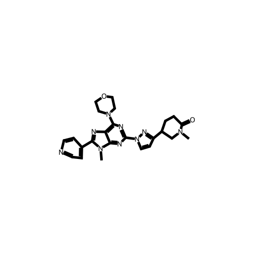 CN1CC(c2ccn(-c3nc(N4CCOCC4)c4nc(-c5ccncc5)n(C)c4n3)n2)CCC1=O